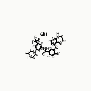 CC1CN(c2cc(NC(=O)c3ccc(Cl)c(Oc4ncnc5c4OCCN5)c3)cc(C(F)(F)F)c2)CCN1.Cl